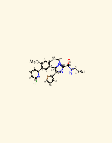 COc1cc2c(cc1-c1cccc(F)n1)-c1c(-c3cccs3)nc(C(=O)NCC(C)(C)C)n1CC2